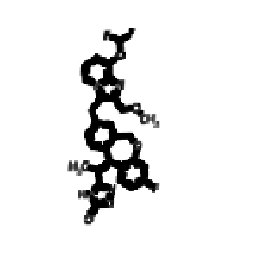 COCc1nc2c(OC(F)F)cccn2c1Cc1ccc2c(c1)COc1cc(F)ccc1C2=C(C)c1noc(=O)[nH]1